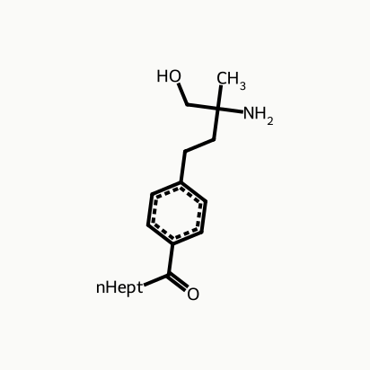 CCCCCCCC(=O)c1ccc(CCC(C)(N)CO)cc1